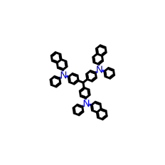 c1ccc(N(c2ccc(C(c3ccc(N(c4ccccc4)c4ccc5ccccc5c4)cc3)c3ccc(N(c4ccccc4)c4ccc5ccccc5c4)cc3)cc2)c2ccc3ccccc3c2)cc1